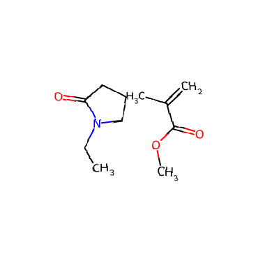 C=C(C)C(=O)OC.CCN1CCCC1=O